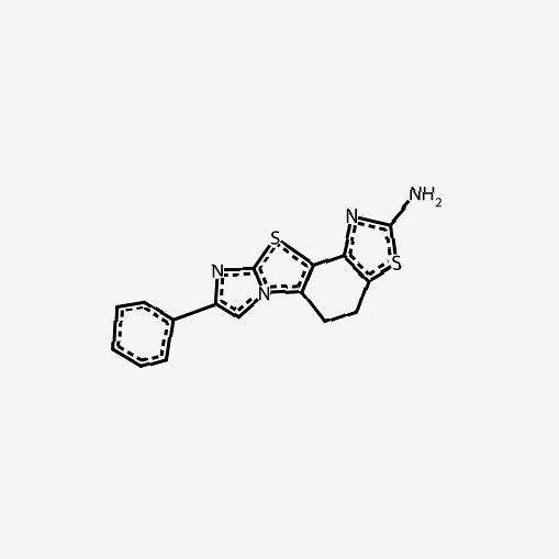 Nc1nc2c(s1)CCc1c-2sc2nc(-c3ccccc3)cn12